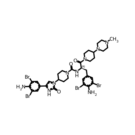 CN1CCN(C2CCN(C(=O)[C@@H](Cc3cc(Br)c(N)c(Br)c3)NC(=O)N3CCC(n4cc(-c5cc(Br)c(N)c(Br)c5)[nH]c4=O)CC3)CC2)CC1